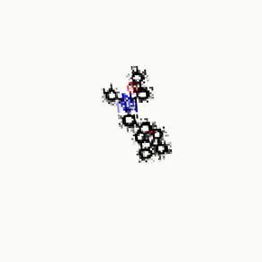 c1ccc(-c2nc(-c3cccc(-c4cccc5c6c(ccc45)-c4ccccc4C6(c4ccccc4)c4ccccc4)c3)nc(-c3cccc4c3oc3ccccc34)n2)cc1